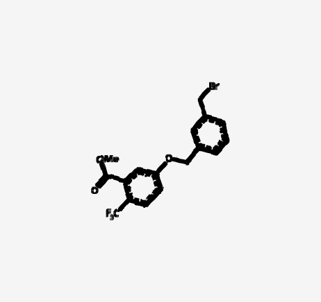 COC(=O)c1cc(OCc2cccc(CBr)c2)ccc1C(F)(F)F